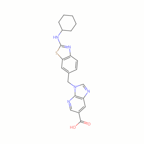 O=C(O)c1cnc2c(c1)ncn2Cc1ccc2nc(NC3CCCCC3)sc2c1